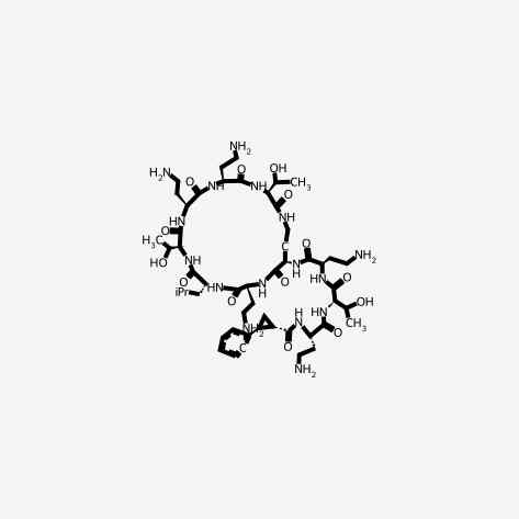 CC(C)C[C@H]1NC(=O)[C@H](CCN)NC(=O)[C@@H](NC(=O)[C@@H](CCN)NC(=O)[C@@H](NC(=O)[C@H](CCN)NC(=O)[C@H]2C[C@@H]2c2ccccc2)C(C)O)CCNC(=O)[C@H](C(C)O)NC(=O)[C@H](CCN)NC(=O)[C@H](CCN)NC(=O)[C@H](C(C)O)NC1=O